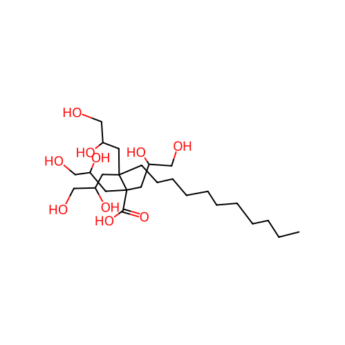 CCCCCCCCCCCC(CC(O)CO)(CC(O)CO)C(CC(O)CO)(CC(O)CO)C(=O)O